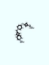 CC(C)(C)O[C@H]1C[C@H](OC2CCN(CC3CC4(CCN(C(C)(C)C)CC4)C3)CC2)C1